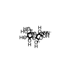 [N-]=[N+]=NC1(O)O[C@H](CO)[C@@H](O[C@@H]2O[C@H](CO)[C@H](O)[C@H](O)[C@H]2O)[C@H](O)[C@H]1O